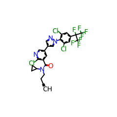 C#CCCN(C(=O)c1cc(-c2cnn(-c3c(Cl)cc(C(F)(C(F)(F)F)C(F)(F)F)cc3Cl)c2)cnc1Cl)C1CC1